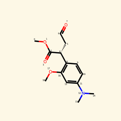 COC(=O)[C@H](CC=O)c1ccc(N(C)C)cc1OC